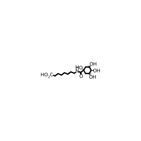 O=C(O)CCCCCCCNC(=O)[C@]1(O)C[C@@H](O)[C@@H](O)[C@H](O)C1